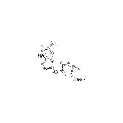 COc1cc(Oc2ccc(N[C@H](C)C(N)=O)cn2)ccc1C